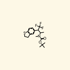 CC(C(c1ccc2c(c1)CCS2)C(F)(F)F)N(C)C(=O)OC(C)(C)C